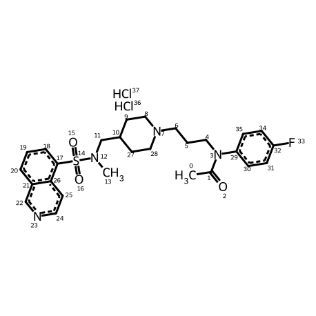 CC(=O)N(CCCN1CCC(CN(C)S(=O)(=O)c2cccc3cnccc23)CC1)c1ccc(F)cc1.Cl.Cl